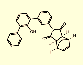 O=C1[C@@H]2[C@H](C(=O)N1c1cccc(-c3cccc(-c4ccccc4)c3O)c1)[C@@H]1C=C[C@H]2CC1